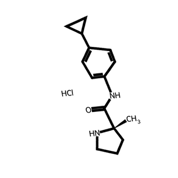 C[C@@]1(C(=O)Nc2ccc(C3CC3)cc2)CCCN1.Cl